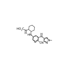 Cn1cc(Nc2cc(NC3CCCCC3NC(=O)O)cnc2C#N)cn1